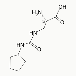 N[C@@H](CNC(=O)NC1CCCC1)C(=O)O